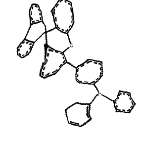 C1=CCCC(P(c2ccccc2)c2cccc(-c3cccc4c3Oc3ccccc3C43c4ccccc4-c4ccccc43)c2)=C1